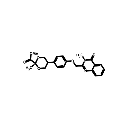 COC(=O)[C@]1(C)OC[C@@H](c2ccc(OCc3nc4ccccc4c(=O)n3C)cc2)CO1